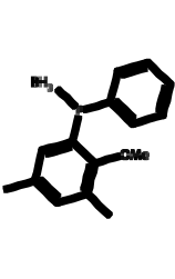 B.COc1c(C)cc(C)cc1P(C)c1ccccc1